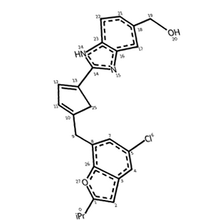 CC(C)c1cc2cc(Cl)cc(CC3=CC=C(c4nc5cc(CO)ccc5[nH]4)C3)c2o1